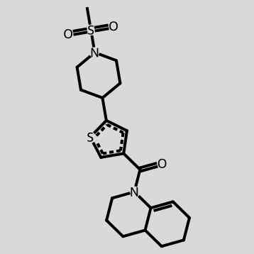 CS(=O)(=O)N1CCC(c2cc(C(=O)N3CCCC4CCCC=C43)cs2)CC1